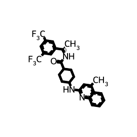 Cc1cc(NC2CCC(C(=O)N[C@@H](C)c3cc(C(F)(F)F)cc(C(F)(F)F)c3)CC2)nc2ccccc12